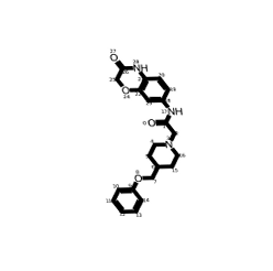 O=C(CN1CCC(COc2ccccc2)CC1)Nc1ccc2c(c1)OCC(=O)N2